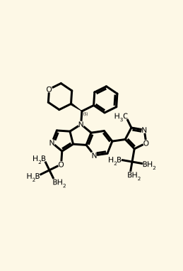 BC(B)(B)OC1=C2c3ncc(-c4c(C)noc4C(B)(B)B)cc3N([C@H](c3ccccc3)C3CCOCC3)C2C=N1